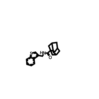 O=C(NCc1csc2ccccc12)C12CC3CC(CC(C3)C1)C2